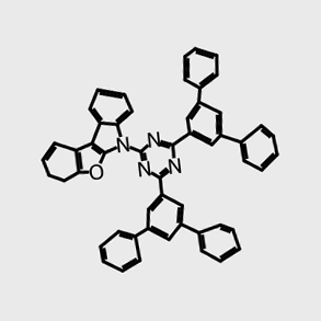 C1=Cc2c(oc3c2c2ccccc2n3-c2nc(-c3cc(-c4ccccc4)cc(-c4ccccc4)c3)nc(-c3cc(-c4ccccc4)cc(-c4ccccc4)c3)n2)CC1